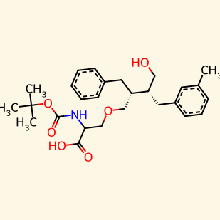 Cc1cccc(C[C@@H](CO)[C@H](COCC(NC(=O)OC(C)(C)C)C(=O)O)Cc2ccccc2)c1